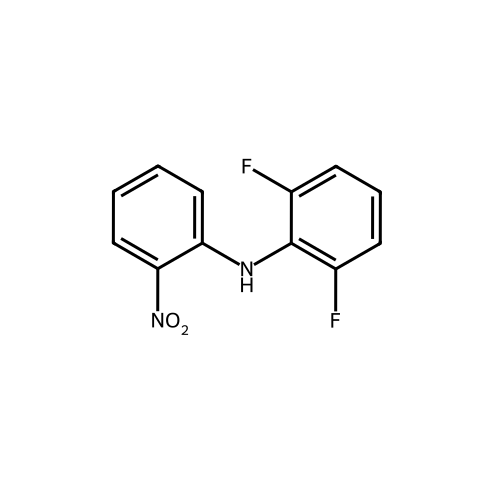 O=[N+]([O-])c1ccccc1Nc1c(F)cccc1F